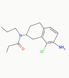 CCCN(C(=O)CC)C1CCc2ccc(N)c(Cl)c2C1